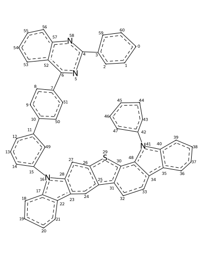 c1ccc(-c2nc(-c3ccc(-c4cccc(-n5c6ccccc6c6cc7c(cc65)sc5c7ccc6c7ccccc7n(-c7ccccc7)c65)c4)cc3)c3ccccc3n2)cc1